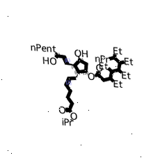 CCCCC[C@H](O)/C=C/[C@@H]1[C@@H](C/C=C\CCCC(=O)OC(C)C)[C@@H](OC(=O)CC(CC)C(CC)C(CC)C(CC)C(CC)CCC)C[C@H]1O